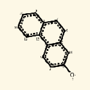 [O]c1ccc2c(ccc3ccccc32)c1